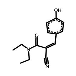 CCN(CC)C(=O)C(C#N)=Cc1ccc(O)cc1